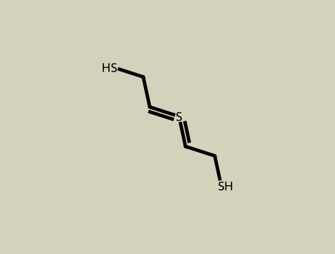 SCC=S=CCS